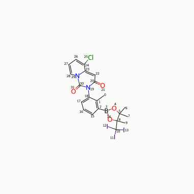 Cc1c(B2OC(C)(C)C(C)(C(I)(I)I)O2)cccc1-n1c(=O)cc2c(Cl)cccn2c1=O